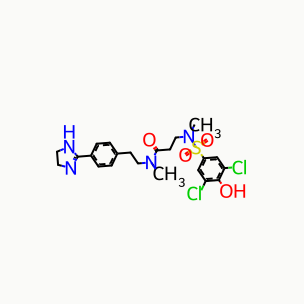 CN(CCc1ccc(C2=NCCN2)cc1)C(=O)CCN(C)S(=O)(=O)c1cc(Cl)c(O)c(Cl)c1